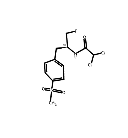 CS(=O)(=O)c1ccc(C[C@@H](CF)NC(=O)C(Cl)Cl)cc1